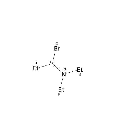 CCC(Br)N(CC)CC